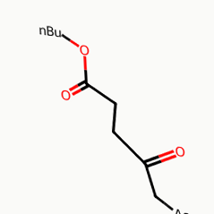 CCCCOC(=O)CCC(=O)CC(C)=O